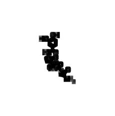 NC1CN(C(=O)NS(=O)(=O)N2CCN(NC(=O)c3ccc(O)c(O)c3)C2=O)C1=O